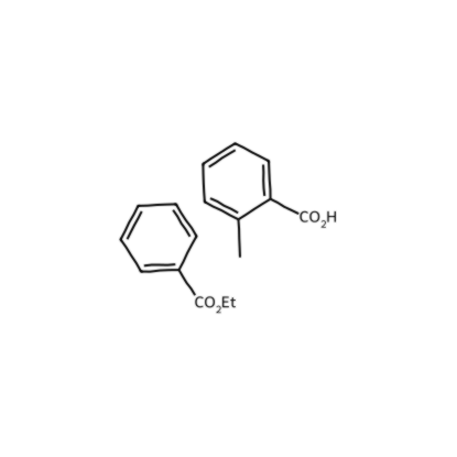 CCOC(=O)c1ccccc1.Cc1ccccc1C(=O)O